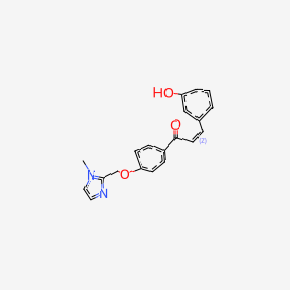 Cn1ccnc1COc1ccc(C(=O)/C=C\c2cccc(O)c2)cc1